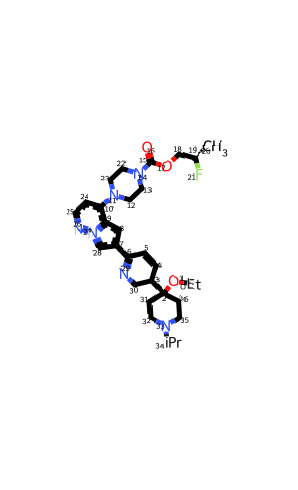 CCOC1(C2C=CC(c3cc4c(N5CCN(C(=O)OC[C@H](C)F)CC5)ccnn4c3)=NC2)CCN(C(C)C)CC1